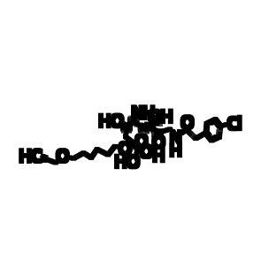 C#CCOCCCCCCO[C@]1(C(=O)O)C[C@H](O)[C@@H](N)[C@H]([C@H](O)[C@H](O)CNC(=O)Cc2ccc(Cl)cc2)O1